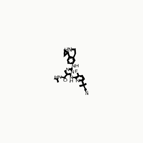 CC(C)NC(=O)c1cnc(Nc2ccc3c(c2)CCNC32CC2)nc1Nc1nc(C(C)(C)C#N)ccc1F